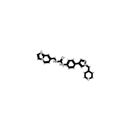 O=C(NCc1ccn2ccnc2c1)Nc1ccc(-c2cnn(CC3CCOCC3)c2)cc1